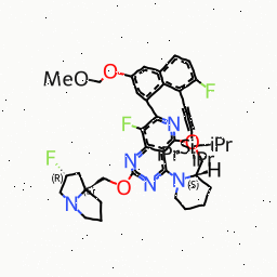 COCOc1cc(-c2nc3c4c(nc(OC[C@@]56CCCN5C[C@H](F)C6)nc4c2F)N2CCCC[C@H]2CO3)c2c(C#C[Si](C(C)C)(C(C)C)C(C)C)c(F)ccc2c1